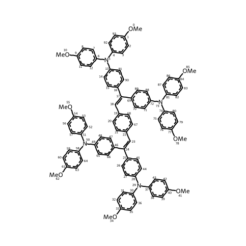 COc1ccc(N(c2ccc(OC)cc2)c2ccc(C(=Cc3ccc(C=C(c4ccc(N(c5ccc(OC)cc5)c5ccc(OC)cc5)cc4)c4ccc(N(c5ccc(OC)cc5)c5ccc(OC)cc5)cc4)cc3)c3ccc(N(c4ccc(OC)cc4)c4ccc(OC)cc4)cc3)cc2)cc1